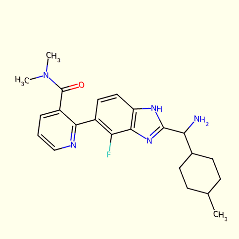 CC1CCC(C(N)c2nc3c(F)c(-c4ncccc4C(=O)N(C)C)ccc3[nH]2)CC1